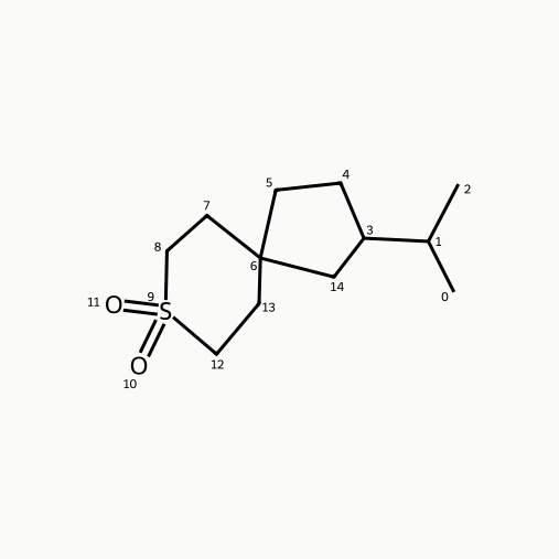 CC(C)C1CCC2(CCS(=O)(=O)CC2)C1